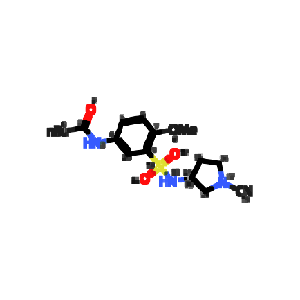 CCCCC(=O)Nc1ccc(OC)c(S(=O)(=O)N[C@@H]2CCN(C#N)C2)c1